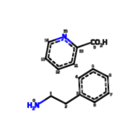 NCCc1ccccc1.O=C(O)c1ccccn1